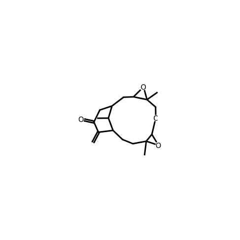 C=C1C(=O)CC2CC3OC3(C)CCC3OC3(C)CCC1C2C